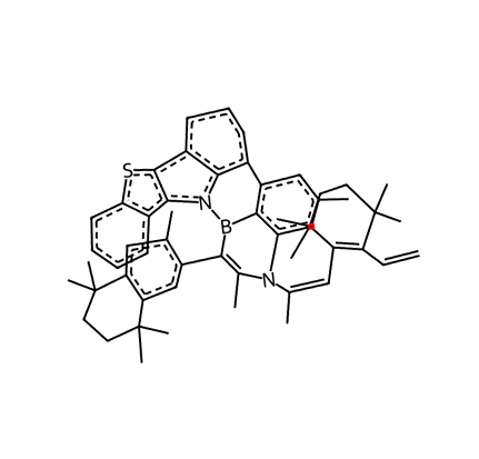 C=CC1=C(/C=C(/C)N2C(C)=C(c3cc4c(cc3C)C(C)(C)CCC4(C)C)B3c4c(cc(C)cc42)-c2cccc4c5sc6ccccc6c5n3c24)C(C)(C)CCC1(C)C